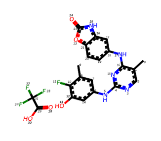 Cc1cnc(Nc2cc(C)c(F)c(O)c2)nc1Nc1ccc2oc(=O)[nH]c2c1.O=C(O)C(F)(F)F